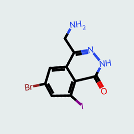 NCc1n[nH]c(=O)c2c(I)cc(Br)cc12